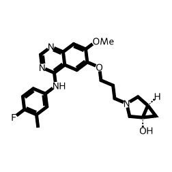 COc1cc2ncnc(Nc3ccc(F)c(C)c3)c2cc1OCCCN1C[C@H]2C[C@@]2(O)C1